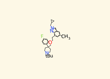 Cc1cc(CCOCC2(c3ccc(F)cc3)CCN(C(C)(C)C)CC2)c2nn(CC3CC3)cc2c1